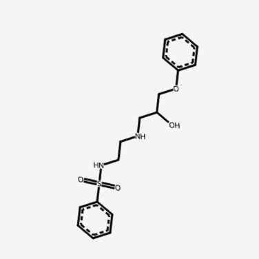 O=S(=O)(NCCNCC(O)COc1ccccc1)c1ccccc1